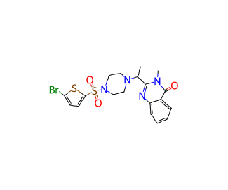 CC(c1nc2ccccc2c(=O)n1C)N1CCN(S(=O)(=O)c2ccc(Br)s2)CC1